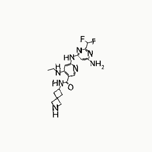 CCNc1cc(Nc2cc(N)nc(C(F)F)n2)ncc1C(=O)NC1CC2(CNC2)C1